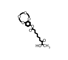 CC(O)C(=O)CCCCCCC(=O)Oc1ccc2c(c1)OCCOCCOCCO2